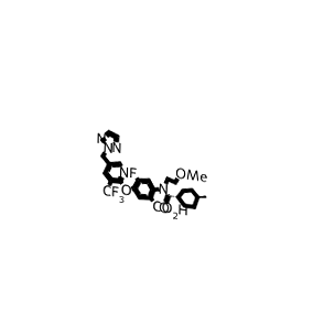 COCCN(c1cc(F)c(Oc2ncc(Cn3nccn3)cc2C(F)(F)F)cc1C(=O)O)C(=O)[C@H]1CC[C@H](C)CC1